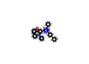 c1ccc(-c2ccc(-c3nc(-c4ccccc4)nc(-c4cc(N(c5ccccc5)c5ccccc5)c5c(c4)oc4ccccc45)n3)cc2)cc1